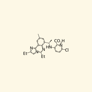 CCc1cn2c(CC)nc3c([C@@H](C)Nc4ccc(Cl)nc4C(=O)O)cc(C)cc3c2n1